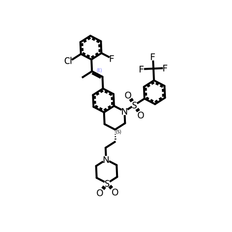 C/C(=C\c1ccc2c(c1)N(S(=O)(=O)c1cccc(C(F)(F)F)c1)C[C@H](CCN1CCS(=O)(=O)CC1)C2)c1c(F)cccc1Cl